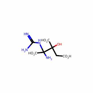 N=C(N)NC(N)(C(=O)O)C(O)(CC(=O)O)C(=O)O